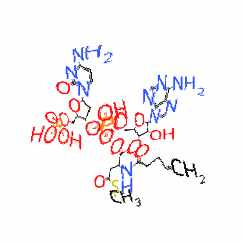 C=CCCC(=O)NC(CC(=O)SC)C(=O)O[C@H]1[C@@H](O)[C@H](n2cnc3c(N)ncnc32)O[C@@H]1COP(=O)(O)O[C@H]1C[C@H](n2ccc(N)nc2=O)O[C@@H]1COP(=O)(O)O